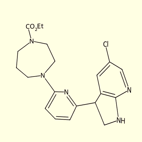 CCOC(=O)N1CCCN(c2cccc(C3CNc4ncc(Cl)cc43)n2)CC1